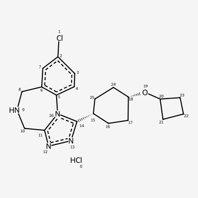 Cl.Clc1ccc2c(c1)CNCc1nnc([C@H]3CC[C@@H](OC4CCC4)CC3)n1-2